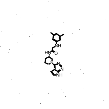 Cc1cc(C)cc(NCC(=O)N[C@@H]2CCCN(c3ncnc4[nH]ccc34)C2)c1